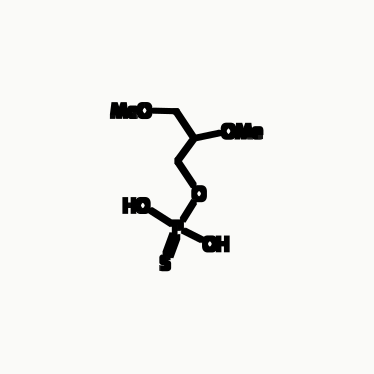 COCC(COP(O)(O)=S)OC